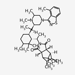 [2H]C(C)([C@@H]1CCC(C)C(C)(C)[C@H]1C(C)N1C(=O)[C@@H]2[C@H]3C(C)C(C)C([C@@H]2C1=O)C3(C)C)[C@@H]1CN(c2nsc3cccc(C)c23)CC(C)N1C